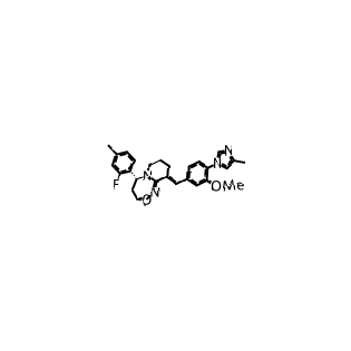 COc1cc(/C=C2\CCCN3C2=NOCC[C@@H]3c2ccc(C)cc2F)ccc1-n1cnc(C)c1